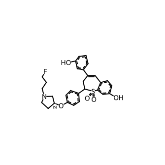 O=S1(=O)c2cc(O)ccc2C=C(c2cccc(O)c2)CC1c1ccc(O[C@H]2CCN(CCCF)C2)cc1